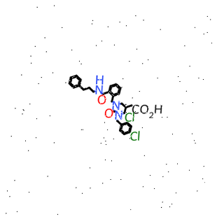 O=C(O)CC1CN(Cc2ccc(Cl)cc2Cl)C(=O)N(Cc2ccccc2C(=O)NCCCc2ccccc2)C1